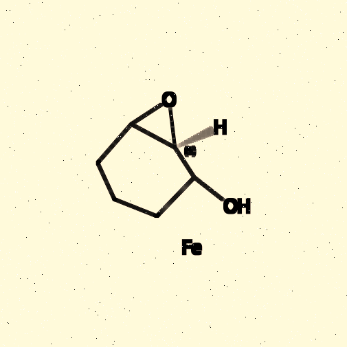 OC1CCCC2O[C@@H]12.[Fe]